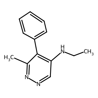 CCNc1cnnc(C)c1-c1ccccc1